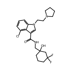 O=C(NCC1(O)CCCC(F)(F)C1)c1cn(CCN2CCCC2)c2cccc(Cl)c12